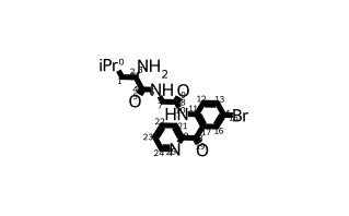 CC(C)C[C@H](N)C(=O)NCC(=O)Nc1ccc(Br)cc1C(=O)c1ccccn1